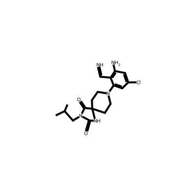 CC(C)CN1C(=O)NC2(CCN(c3cc(Cl)cc(N)c3C=N)CC2)C1=O